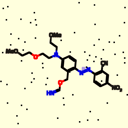 COCCOCCN(CCOC)c1ccc(/N=N/c2ccc([N+](=O)[O-])cc2C#N)c(COC=N)c1